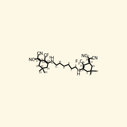 CC1(C)CC(NCCCCCCNC2=C(C(F)(F)F)C(=C(C#N)C#N)CC(C)(C)C2)=C(C(F)(F)F)C(=C(C#N)C#N)C1